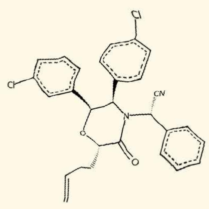 C=CC[C@@H]1O[C@@H](c2cccc(Cl)c2)[C@@H](c2ccc(Cl)cc2)N([C@H](C#N)c2ccccc2)C1=O